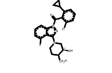 O=C(O)C1CCN(c2nn(C(=O)c3c(Cl)cccc3C3CC3)c3cccc(F)c23)C[C@H]1O